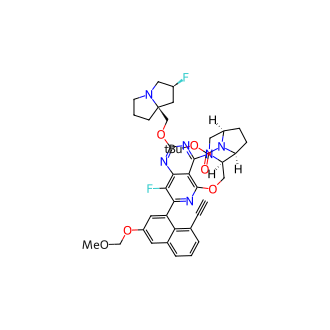 C#Cc1cccc2cc(OCOC)cc(-c3nc4c5c(nc(OC[C@@]67CCCN6C[C@@H](F)C7)nc5c3F)N3C[C@H]5CC[C@@H]([C@H]3CO4)N5C(=O)OC(C)(C)C)c12